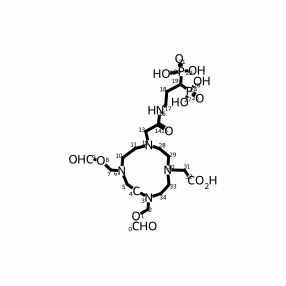 O=COCN1CCN(COC=O)CCN(CC(=O)NCCC(P(=O)(O)O)P(=O)(O)O)CCN(CC(=O)O)CC1